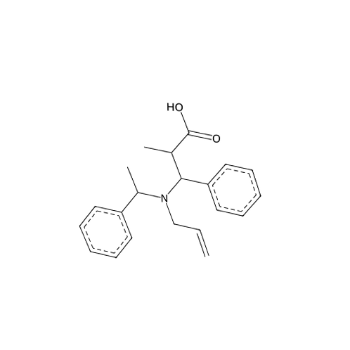 C=CCN(C(C)c1ccccc1)C(c1ccccc1)C(C)C(=O)O